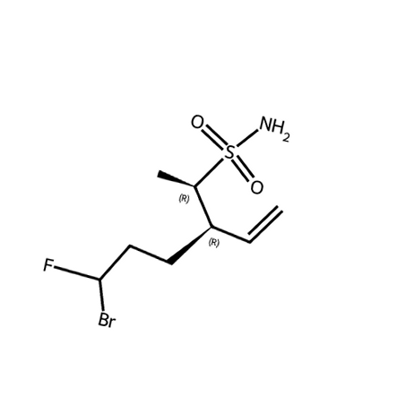 C=C[C@@H](CCC(F)Br)[C@@H](C)S(N)(=O)=O